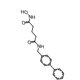 O=C(CCCC(=O)NCc1ccc(-c2ccccc2)cc1)NO